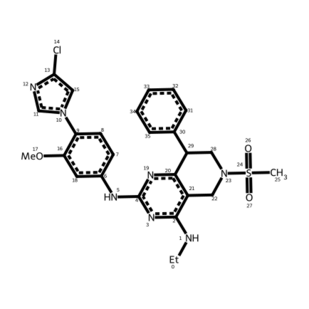 CCNc1nc(Nc2ccc(-n3cnc(Cl)c3)c(OC)c2)nc2c1CN(S(C)(=O)=O)CC2c1ccccc1